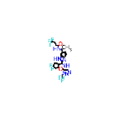 C[C@@H](NC(=O)CCC(F)(F)F)c1ccc2nc([C@@H](NC(=O)c3cnnn3CC(F)(F)F)C3CCC(F)(F)CC3)[nH]c2c1